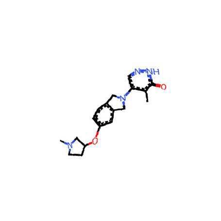 Cc1c(N2Cc3ccc(OC4CCN(C)C4)cc3C2)cn[nH]c1=O